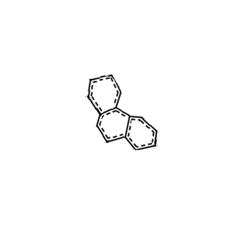 [c]1[c]c2ccc3[c]cccc3c2cc1